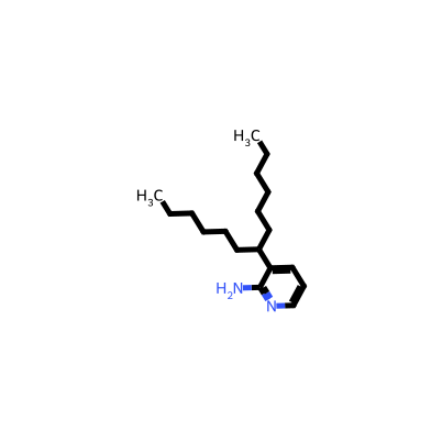 CCCCCCC(CCCCCC)c1cccnc1N